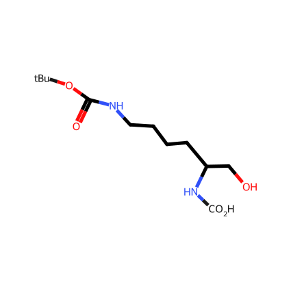 CC(C)(C)OC(=O)NCCCCC(CO)NC(=O)O